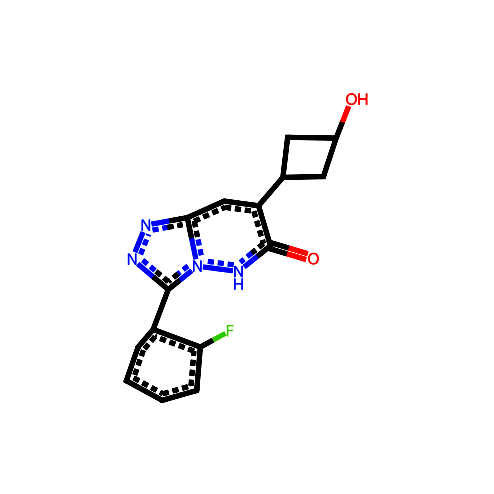 O=c1[nH]n2c(-c3ccccc3F)nnc2cc1C1CC(O)C1